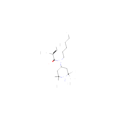 CC=C(C)C(=O)N(CCCCCC)C1CC(C)(C)N(C)C(C)(C)C1